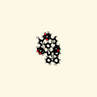 Cc1cc(-c2ccccc2)n(-c2cc(-n3c(-c4ccccc4)cc(C)c3-c3ccccc3)cc(-n3c(-c4ccccc4)cc([Si](c4ccccc4)(c4ccccc4)c4ccccc4)c3-c3ccccc3)c2)c1-c1ccccc1